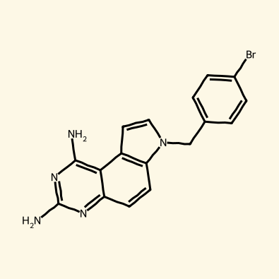 Nc1nc(N)c2c(ccc3c2ccn3Cc2ccc(Br)cc2)n1